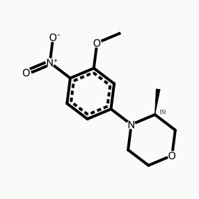 COc1cc(N2CCOC[C@@H]2C)ccc1[N+](=O)[O-]